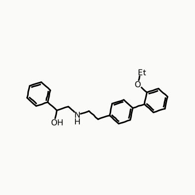 CCOc1ccccc1-c1ccc(CCNCC(O)c2ccccc2)cc1